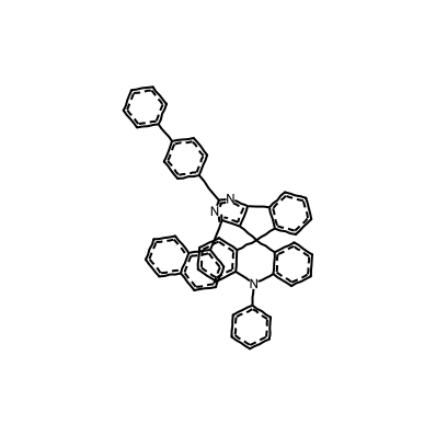 c1ccc(-c2ccc(-c3nc4c(c(-c5cccc6ccccc56)n3)C3(c5ccccc5-4)c4ccccc4N(c4ccccc4)c4ccccc43)cc2)cc1